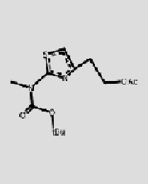 CC(=O)OCCc1csc(N(C)C(=O)OC(C)(C)C)n1